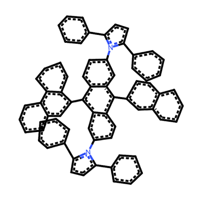 c1ccc(-c2ccc(-c3ccccc3)n2-c2ccc3c(-c4cc5ccccc5c5ccccc45)c4cc(-n5c(-c6ccccc6)ccc5-c5ccccc5)ccc4c(-c4ccc5ccccc5c4)c3c2)cc1